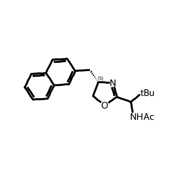 CC(=O)NC(C1=N[C@@H](Cc2ccc3ccccc3c2)CO1)C(C)(C)C